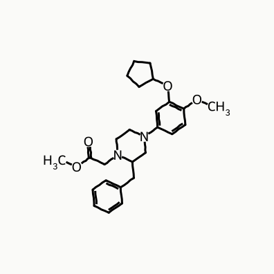 COC(=O)CN1CCN(c2ccc(OC)c(OC3CCCC3)c2)CC1Cc1ccccc1